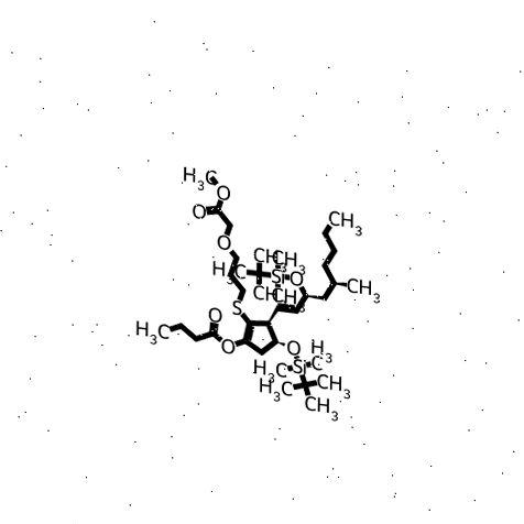 CCCC[C@@H](C)C[C@@H](/C=C/[C@@H]1C(SCCCOCC(=O)OC)=C(OC(=O)CCC)C[C@H]1O[Si](C)(C)C(C)(C)C)O[Si](C)(C)C(C)(C)C